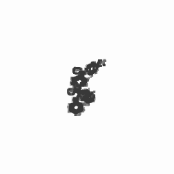 CCN1CCN(C(=O)C2CCN(C(=O)c3cc4sccc4n3CC3CCCCC3)CC2)CC1